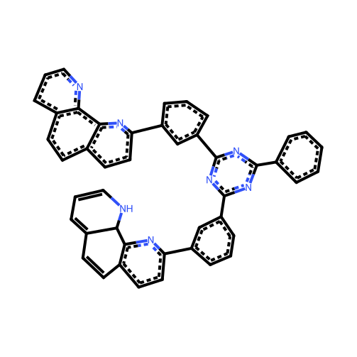 C1=CNC2C(=C1)C=Cc1ccc(-c3cccc(-c4nc(-c5ccccc5)nc(-c5cccc(-c6ccc7ccc8cccnc8c7n6)c5)n4)c3)nc12